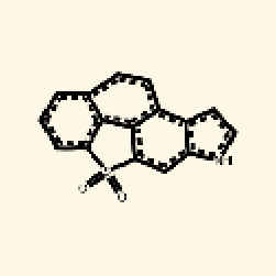 O=S1(=O)c2cccc3ccc4c5cc[nH]c5cc1c4c23